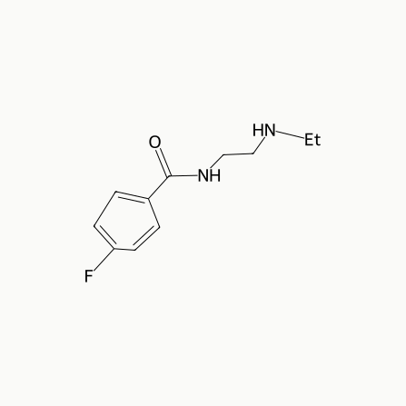 CCNCCNC(=O)c1ccc(F)cc1